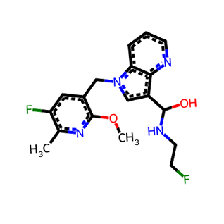 COc1nc(C)c(F)cc1Cn1cc(C(O)NCCF)c2ncccc21